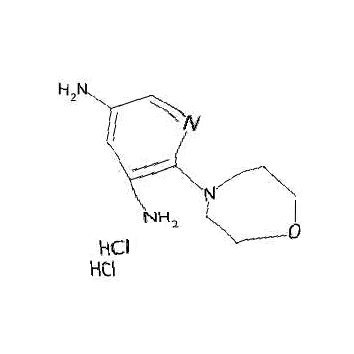 Cl.Cl.Nc1cnc(N2CCOCC2)c(N)c1